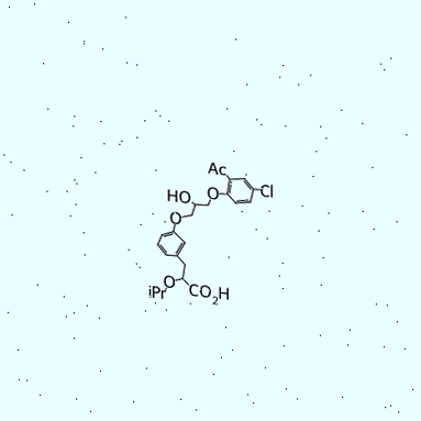 CC(=O)c1cc(Cl)ccc1OCC(O)COc1cccc(CC(OC(C)C)C(=O)O)c1